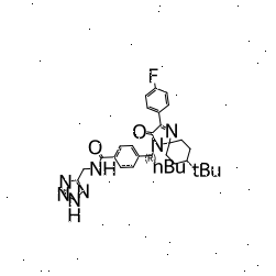 CCCC[C@H](c1ccc(C(=O)NCc2nn[nH]n2)cc1)N1C(=O)C(c2ccc(F)cc2)=NC12CCC(C(C)(C)C)CC2